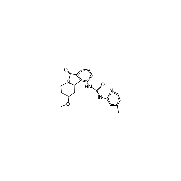 COC1CCN2C(=O)c3cccc(NC(=O)Nc4cc(C)ccn4)c3C2C1